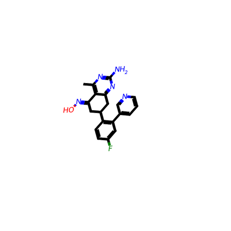 Cc1nc(N)nc2c1C(=NO)CC(c1ccc(F)cc1-c1cccnc1)C2